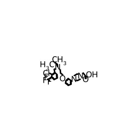 CC(C)CN(CCCOc1cccc(N2CCN(CC(=O)O)CC2)c1)Cc1cccc(C(F)(F)F)c1Cl